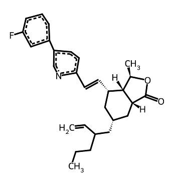 C=CC(CCC)C[C@@H]1C[C@H](/C=C/c2ccc(-c3cccc(F)c3)cn2)[C@@H]2[C@@H](C)OC(=O)[C@@H]2C1